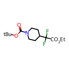 CCOC(=O)C(F)(F)C1CCN(C(=O)OC(C)(C)C)CC1